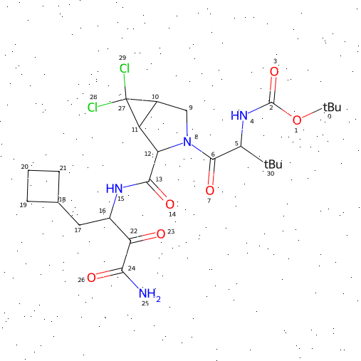 CC(C)(C)OC(=O)NC(C(=O)N1CC2C(C1C(=O)NC(CC1CCC1)C(=O)C(N)=O)C2(Cl)Cl)C(C)(C)C